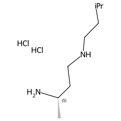 CC(C)CCNCC[C@H](C)N.Cl.Cl